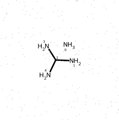 N.NC(N)N